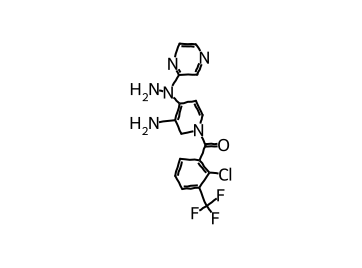 NC1=C(N(N)c2cnccn2)C=CN(C(=O)c2cccc(C(F)(F)F)c2Cl)C1